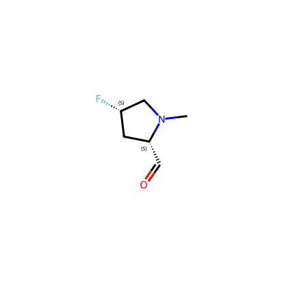 CN1C[C@@H](F)C[C@H]1C=O